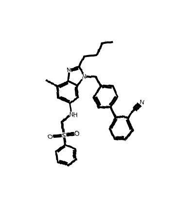 CCCCc1nc2c(C)cc(NCS(=O)(=O)c3ccccc3)cc2n1Cc1ccc(-c2ccccc2C#N)cc1